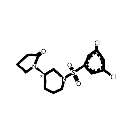 O=C1CCCN1[C@@H]1CCCN(S(=O)(=O)c2cc(Cl)cc(Cl)c2)C1